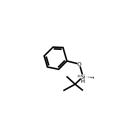 C[Si@@H](Oc1ccccc1)C(C)(C)C